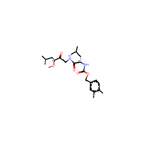 CO[C@@H](CC(C)C)C(=O)CNC(=O)[C@H](CC(C)C)NC(=O)OCc1ccc(C)c(C)c1